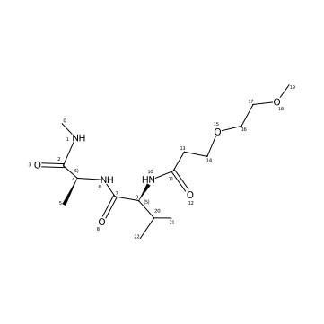 CNC(=O)[C@H](C)NC(=O)[C@@H](NC(=O)CCOCCOC)C(C)C